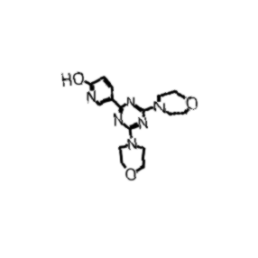 Oc1ccc(-c2nc(N3CCOCC3)nc(N3CCOCC3)n2)cn1